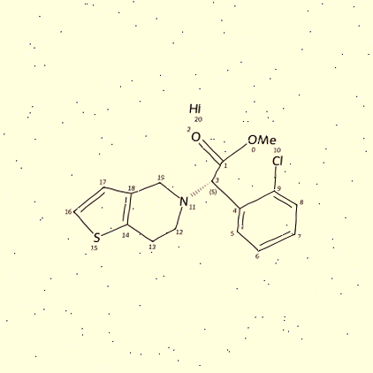 COC(=O)[C@H](c1ccccc1Cl)N1CCc2sccc2C1.I